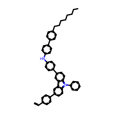 C=Cc1ccc(-c2ccc3c(c2)c2cc(-c4ccc(Nc5ccc(-c6ccc(CCCCCCCC)cc6)cc5)cc4)ccc2n3-c2ccccc2)cc1